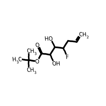 C=CCC(F)C(O)C(O)C(=O)OC(C)(C)C